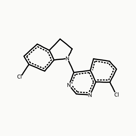 Clc1ccc2c(c1)N(c1ncnc3c(Cl)cccc13)CC2